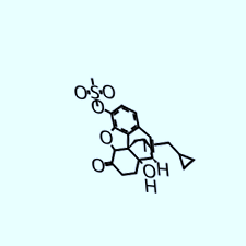 CS(=O)(=O)Oc1ccc2c3c1OC1C(=O)CCC4(O)[C@@H](C2)N(CC2CC2)CC[C@]314